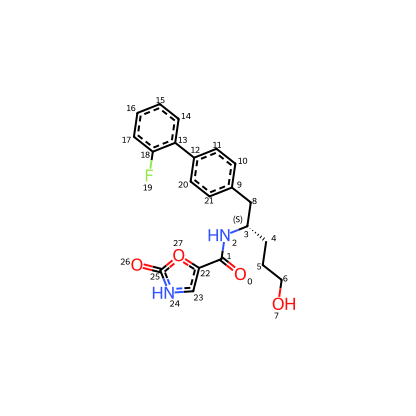 O=C(N[C@@H](CCCO)Cc1ccc(-c2ccccc2F)cc1)c1c[nH]c(=O)o1